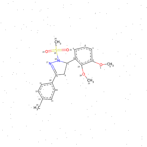 COc1cccc(C2CC(c3ccc(C)cc3)=NN2S(C)(=O)=O)c1OC